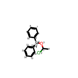 CC(Cl)O[SiH](c1ccccc1)c1ccccc1